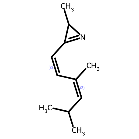 CC(/C=C\C1=NC1C)=C/C(C)C